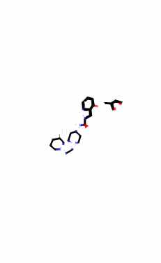 C[C@H]1CN([C@@H](C)CN2CCC(NC(=O)c3cc4c(OCc5ccoc5)cccc4[nH]3)CC2)CC[C@@H]1O